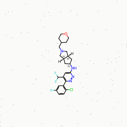 Fc1ccc(Cl)c(-c2nnc(N[C@H]3C[C@@H]4CN(CC5CCOCC5)C[C@@H]4C3)cc2C(F)F)c1